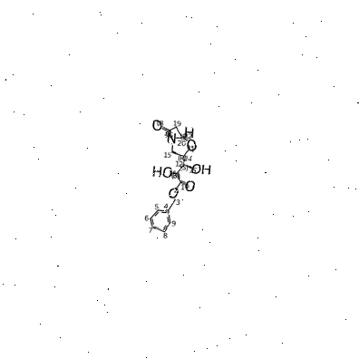 O=C(OCc1ccccc1)[C@@H](O)[C@H](O)[C@H]1CN2C(=O)C[C@@H]2O1